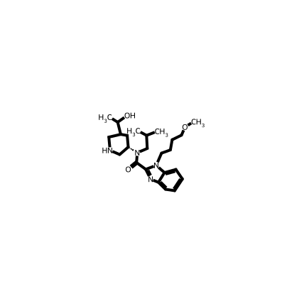 COCCCCn1c(C(=O)N(CC(C)C)[C@@H]2CNCC(C(C)O)C2)nc2ccccc21